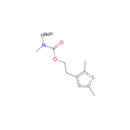 CCCCCCCCCN(C)C(=O)OCCc1cc(C)sc1C